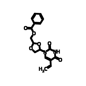 C=Cc1cn(C2COC(COC(=O)c3ccccc3)O2)c(=O)[nH]c1=O